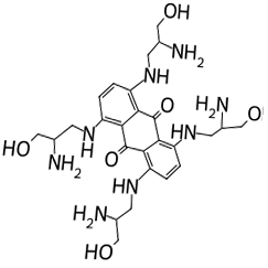 NC(CO)CNc1ccc(NCC(N)CO)c2c1C(=O)c1c(NCC(N)CO)ccc(NCC(N)CO)c1C2=O